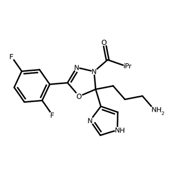 CC(C)C(=O)N1N=C(c2cc(F)ccc2F)OC1(CCCN)c1c[nH]cn1